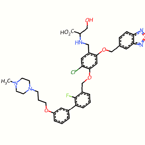 CN1CCN(CCCOc2cccc(-c3cccc(COc4cc(OCc5ccc6nonc6c5)c(CNC(CO)C(=O)O)cc4Cl)c3F)c2)CC1